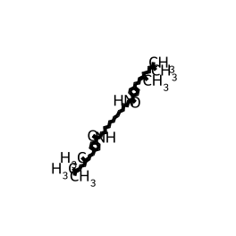 CC(C)=CCC/C(C)=C/CCC1=CCC(C(=O)NCCCCCCCCCCCCNC(=O)C2CC=C(CC/C=C(\C)CCC=C(C)C)CC2)CC1